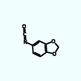 O=C=Nc1ccc2c(c1)OCO2